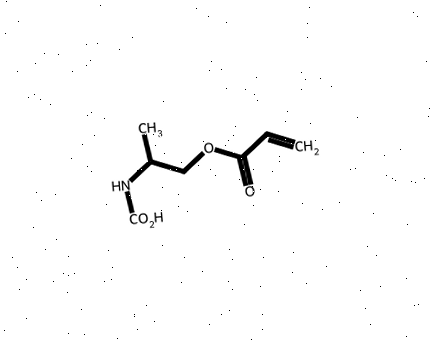 C=CC(=O)OCC(C)NC(=O)O